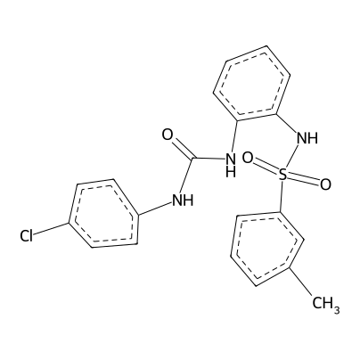 Cc1cccc(S(=O)(=O)Nc2ccccc2NC(=O)Nc2ccc(Cl)cc2)c1